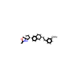 C=C1N[C@@]2(CC[C@H](c3ccc4c(c3)CC[C@@H](CCc3cccc(OC)c3)C4)C2)CO1